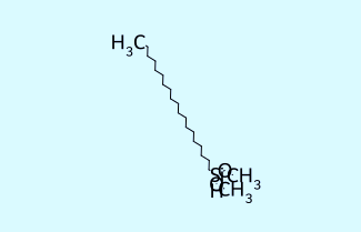 CCCCCCCCCCCCCCCCCCC[SiH](OC)OC